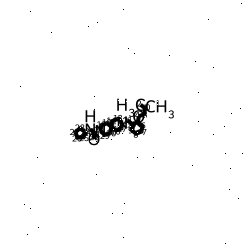 CC(C)COc1ccccc1CN1CCC2(CC1)CCN(C(=O)NC1CCCC1)CC2